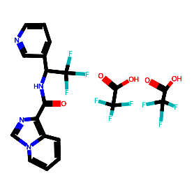 O=C(NC(c1cccnc1)C(F)(F)F)c1ncn2ccccc12.O=C(O)C(F)(F)F.O=C(O)C(F)(F)F